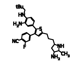 CC1NC(CCCc2cc(-c3ccc(C#N)c(F)c3)c(-c3ccc(NCC(C)(C)C)c(N)c3)s2)CC1N